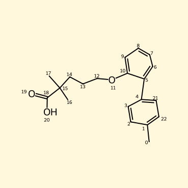 Cc1ccc(-c2ccccc2OCCCC(C)(C)C(=O)O)cc1